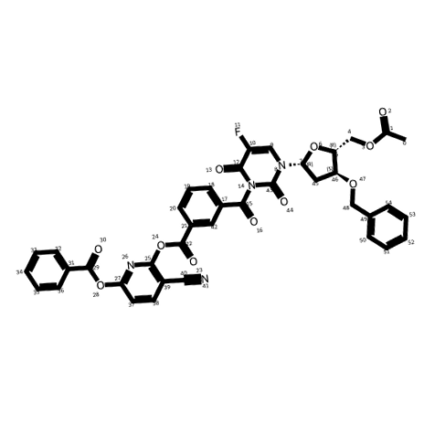 CC(=O)OC[C@H]1O[C@@H](n2cc(F)c(=O)n(C(=O)c3cccc(C(=O)Oc4nc(OC(=O)c5ccccc5)ccc4C#N)c3)c2=O)C[C@@H]1OCc1ccccc1